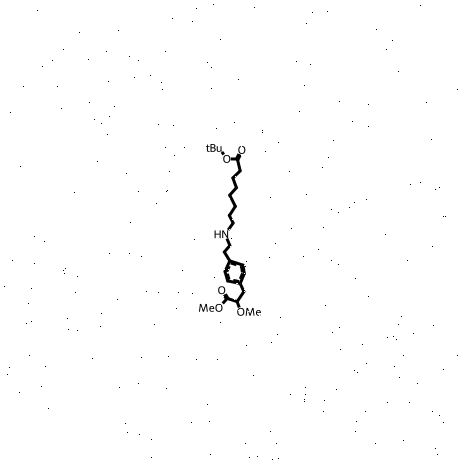 COC(=O)C(Cc1ccc(CCNCCCCCCCC(=O)OC(C)(C)C)cc1)OC